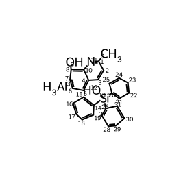 Cc1ccc2cccc(O)c2n1.O[Si](c1ccccc1)(c1ccccc1)c1ccccc1.[AlH3]